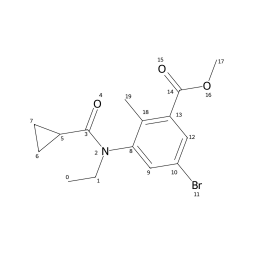 CCN(C(=O)C1CC1)c1cc(Br)cc(C(=O)OC)c1C